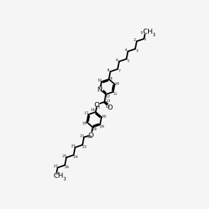 CCCCCCCCCc1ccc(C(=O)Oc2ccc(OCCCCCCCC)cc2)nc1